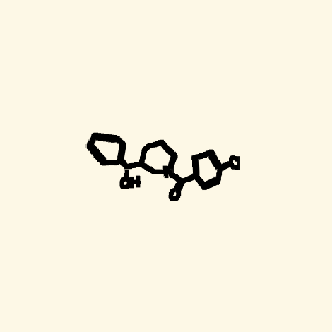 O=C(c1ccc(Cl)cc1)N1CCCC([C@H](O)c2ccccc2)C1